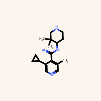 Cc1cncc(C2CC2)c1C(=N)NC1CCNCC1(C)C